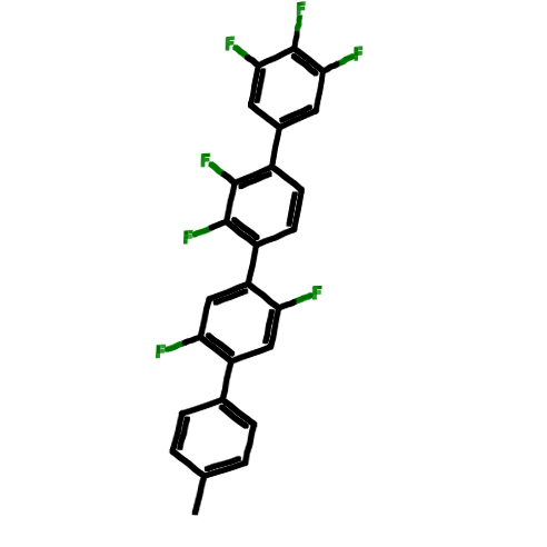 Cc1ccc(-c2cc(F)c(-c3ccc(-c4cc(F)c(F)c(F)c4)c(F)c3F)cc2F)cc1